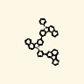 c1ccc(-n2c3ccc(-c4ccc5c(c4)c4c6ccccc6ccc4n5-c4cccc(-c5cc6c7c(cccc7c5)-c5ccccc5-6)c4)cc3c3c4ccccc4ccc32)cc1